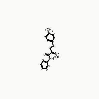 Cc1ccc(SCC(=NO)C(=O)Nc2ccccc2)cc1